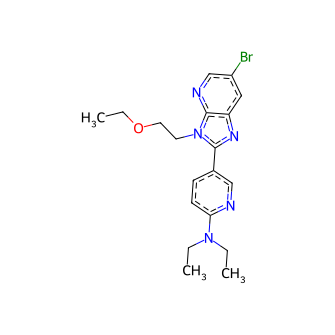 CCOCCn1c(-c2ccc(N(CC)CC)nc2)nc2cc(Br)cnc21